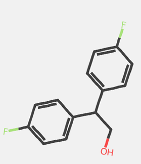 OCC(c1ccc(F)cc1)c1ccc(F)cc1